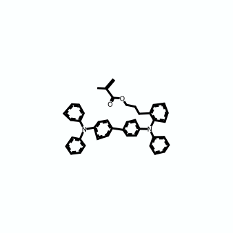 C=C(C)C(=O)OCCCc1ccccc1N(c1ccccc1)c1ccc(-c2ccc(N(c3ccccc3)c3ccccc3)cc2)cc1